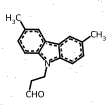 Cc1ccc2c(c1)c1cc(C)ccc1n2CCC=O